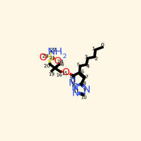 CCCCCCc1cc2ncnn2nc1OCC(C)(C)CS(N)(=O)=O